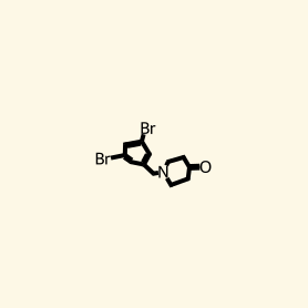 O=C1CCN(Cc2cc(Br)cc(Br)c2)CC1